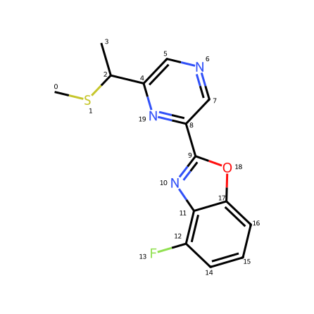 CSC(C)c1cncc(-c2nc3c(F)cccc3o2)n1